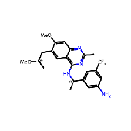 COc1cc2nc(C)nc(N[C@H](C)c3cc(N)cc(C(F)(F)F)c3)c2cc1C[C@@H](C)OC